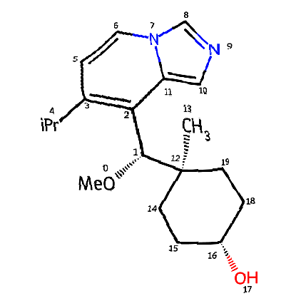 CO[C@H](c1c(C(C)C)ccn2cncc12)[C@]1(C)CC[C@@H](O)CC1